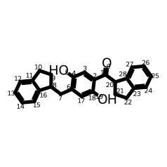 O=C(c1cc(O)c(CC2CCc3ccccc32)cc1O)C1CCc2ccccc21